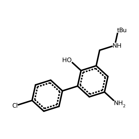 CC(C)(C)NCc1cc(N)cc(-c2ccc(Cl)cc2)c1O